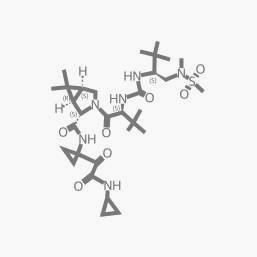 CN(C[C@@H](NC(=O)N[C@H](C(=O)N1C[C@H]2[C@@H]([C@H]1C(=O)NC1(C(=O)C(=O)NC3CC3)CC1)C2(C)C)C(C)(C)C)C(C)(C)C)S(C)(=O)=O